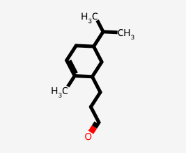 CC1=CCC(C(C)C)CC1CCC=O